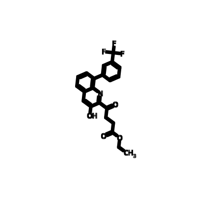 CCOC(=O)CCC(=O)c1nc2c(-c3cccc(C(F)(F)F)c3)cccc2cc1O